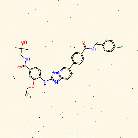 CC(C)(O)CNC(=O)c1ccc(Nc2nc3ccc(-c4ccc(C(=O)NCc5ccc(F)cc5)cc4)cn3n2)c(OCC(F)(F)F)c1